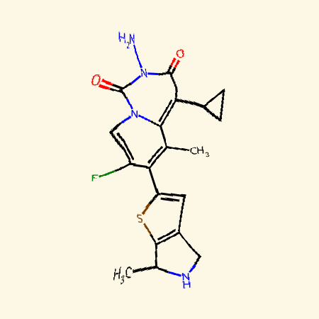 Cc1c(-c2cc3c(s2)C(C)NC3)c(F)cn2c(=O)n(N)c(=O)c(C3CC3)c12